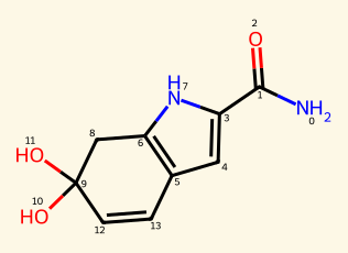 NC(=O)c1cc2c([nH]1)CC(O)(O)C=C2